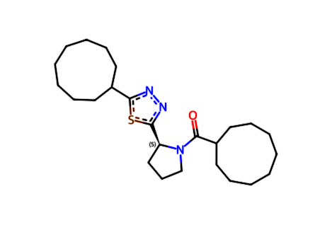 O=C(C1CCCCCCCC1)N1CCC[C@H]1c1nnc(C2CCCCCCCC2)s1